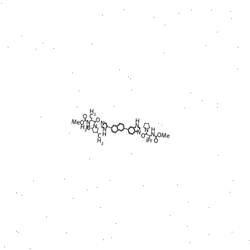 COC(=O)N[C@@H](C)C(=O)N1[C@H](C)C[C@H](C)[C@H]1c1ncc(-c2ccc3cc(-c4ccc5nc([C@@H]6CCCN6C(=O)[C@@H](NC(=O)OC)C(C)C)[nH]c5c4)ccc3c2)[nH]1